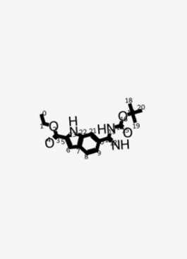 CCOC(=O)c1cc2ccc(C(=N)NC(=O)OC(C)(C)C)cc2[nH]1